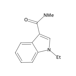 CCn1cc(C(=O)NC)c2ccccc21